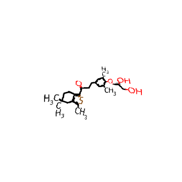 Cc1cc(CCC(=O)c2sc(C)c3c2CCC(C)(C)C3)cc(C)c1OC[C@@H](O)CO